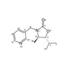 CC(C)[C@H]1OC(=O)N(Cc2cccnc2)[C@@H]1C